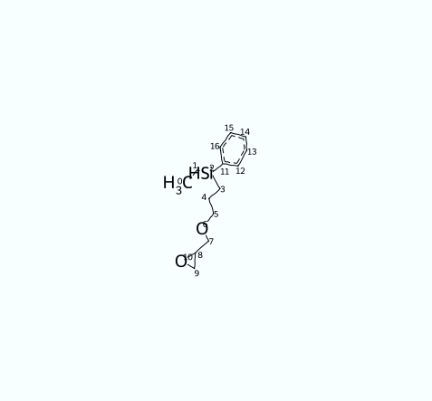 CC[SiH](CCCOCC1CO1)c1ccccc1